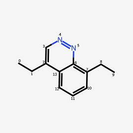 CCc1cnnc2c(CC)cccc12